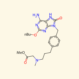 CCCCOc1nc(N)c2[nH]c(=O)n(Cc3ccc(CCCN(C)CC(=O)OC)cc3)c2n1